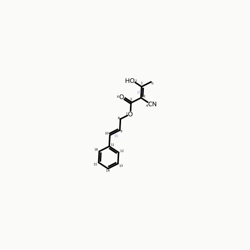 C/C(O)=C(\C#N)C(=O)OC/C=C/c1ccccc1